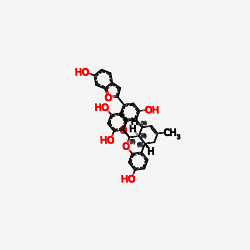 CC1=C[C@@H]2c3c(O)cc(-c4cc5ccc(O)cc5o4)cc3O[C@@]3(c4ccc(O)cc4O)Oc4cc(O)ccc4[C@@H](C1)[C@H]23